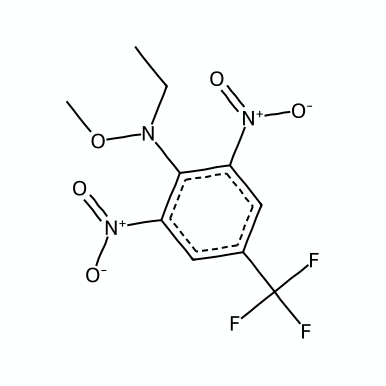 CCN(OC)c1c([N+](=O)[O-])cc(C(F)(F)F)cc1[N+](=O)[O-]